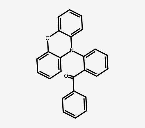 O=C(c1ccccc1)c1ccccc1N1c2ccccc2Oc2ccccc21